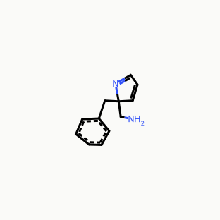 NCC1(Cc2ccccc2)C=CC=N1